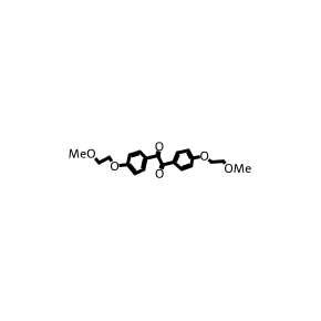 COCCOc1ccc(C(=O)C(=O)c2ccc(OCCOC)cc2)cc1